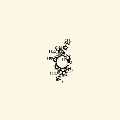 C=CC(=O)N1CC[C@H](C(=O)N(C)[C@H](C(=O)N[C@H]2Cc3cc(O)cc(c3)-c3ccc4c(c3)c(c(-c3ccncc3CCOC)n4CC)CC(C)(C)COC(=O)[C@@H]3CCCN(N3)C2=O)C(C)C)C1